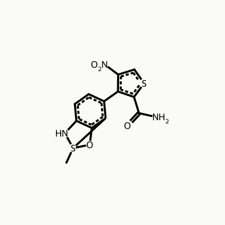 CS12Nc3ccc(-c4c([N+](=O)[O-])csc4C(N)=O)c1c3O2